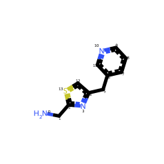 NCc1nc(Cc2cccnc2)cs1